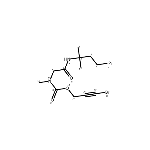 CC(C)CCC(C)(C)NC(=O)CN(C)C(=O)OCC#CBr